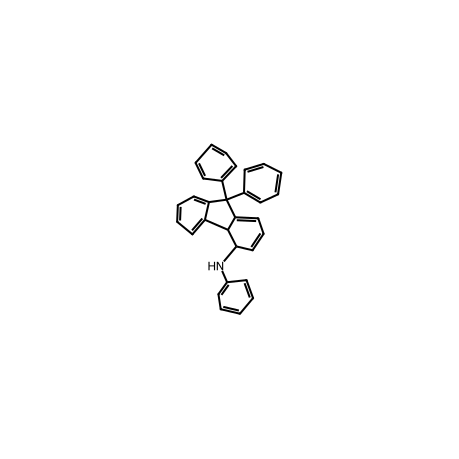 C1=CC(Nc2ccccc2)C2C(=C1)C(c1ccccc1)(c1ccccc1)c1ccccc12